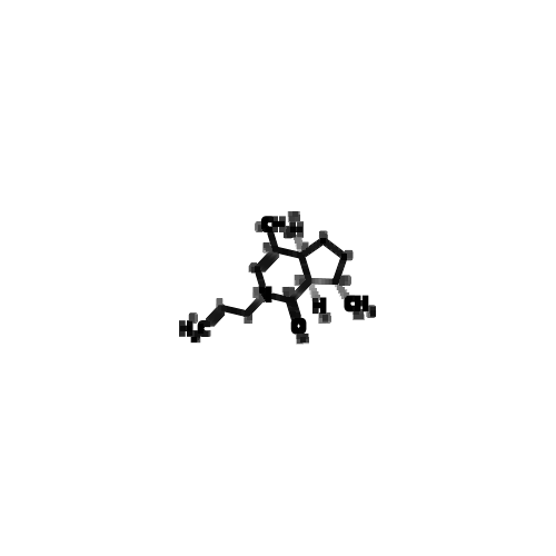 C=CCN1C=C(C)[C@H]2CC[C@H](C)[C@H]2C1=O